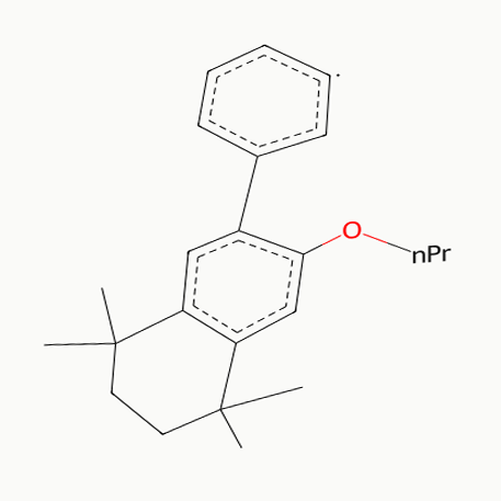 CCCOc1cc2c(cc1-c1c[c]ccc1)C(C)(C)CCC2(C)C